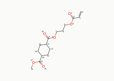 C=CC(=O)OCCCOC(=O)C1CCC(C(=O)OC)CC1